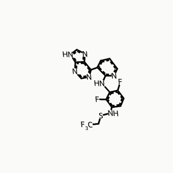 Fc1ccc(NSCC(F)(F)F)c(F)c1Nc1ncccc1-c1ncnc2[nH]cnc12